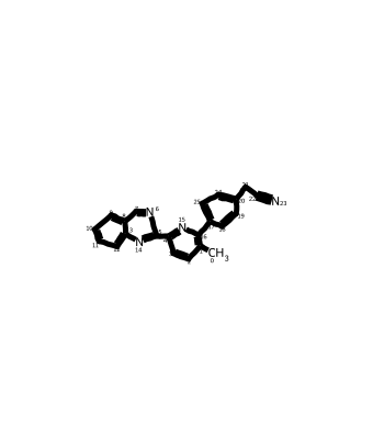 Cc1ccc(-c2ncc3ccccc3n2)nc1-c1ccc(CC#N)cc1